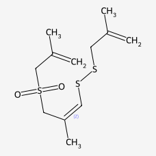 C=C(C)CSS/C=C(/C)CS(=O)(=O)CC(=C)C